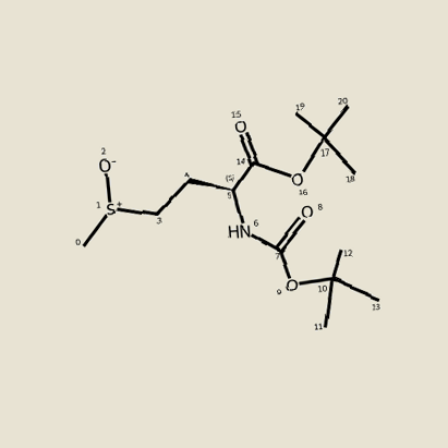 C[S+]([O-])CC[C@H](NC(=O)OC(C)(C)C)C(=O)OC(C)(C)C